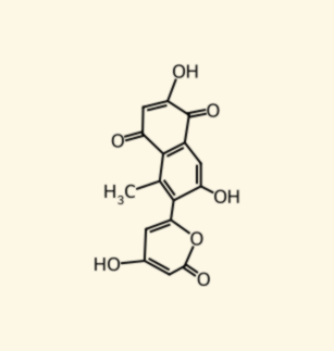 Cc1c2c(cc(O)c1-c1cc(O)cc(=O)o1)C(=O)C(O)=CC2=O